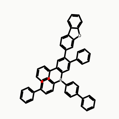 c1ccc(-c2ccc(N(c3ccc(-c4ccccc4)cc3)c3cc(-c4ccccc4)c(-c4ccc5c(c4)oc4ccccc45)cc3-c3ccccc3)cc2)cc1